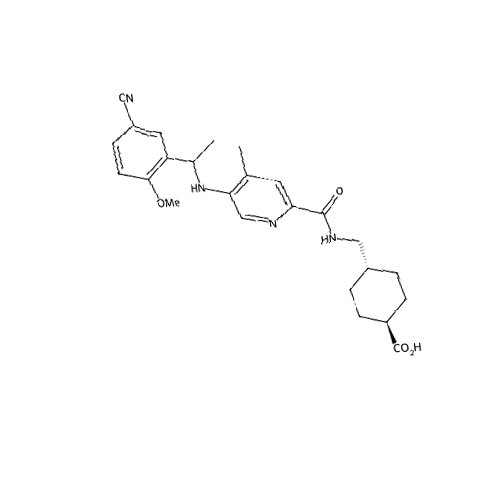 COc1ccc(C#N)cc1C(C)Nc1cnc(C(=O)NC[C@H]2CC[C@H](C(=O)O)CC2)cc1C